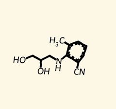 Cc1cccc(C#N)c1NCC(O)CO